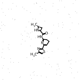 Cc1csc(C2=CCCC(NC(=O)C3CC(C)N3)=N2)n1